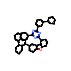 c1ccc(-c2cccc(-c3nc(-c4ccccc4)nc(-c4cccc5oc6ccc(-c7cc8ccccc8c8ccccc78)cc6c45)n3)c2)cc1